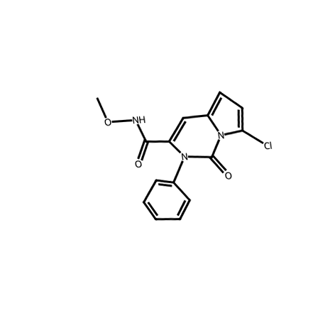 CONC(=O)c1cc2ccc(Cl)n2c(=O)n1-c1ccccc1